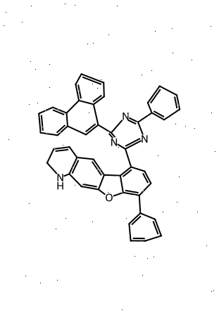 C1=Cc2cc3c(cc2NC1)oc1c(-c2ccccc2)ccc(-c2nc(-c4ccccc4)nc(-c4cc5ccccc5c5ccccc45)n2)c13